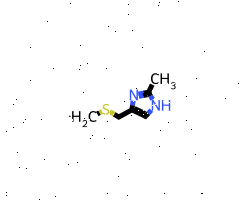 [CH2]SCc1c[nH]c(C)n1